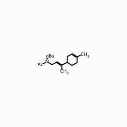 CCCCN(C/C=C(\C)C1CC=C(C)CC1)C(C)=O